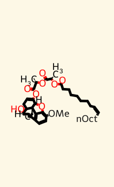 CCCCCCCC/C=C\CCCCCCCC(=O)O[C@@H](C)C(=O)O[C@@H](C)C(=O)OC1=CC[C@@]2(O)[C@@H]3CCC[C@@]24c2c(ccc(OC)c2O[C@@H]14)C3